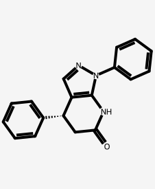 O=C1C[C@H](c2ccccc2)c2cnn(-c3ccccc3)c2N1